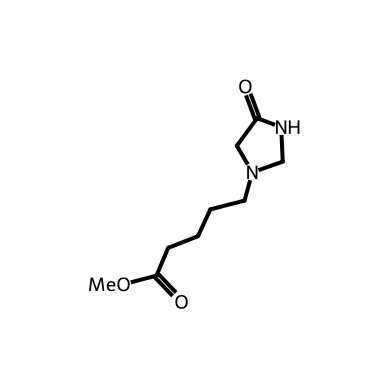 COC(=O)CCCCN1CNC(=O)C1